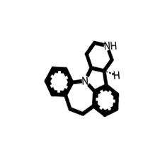 c1ccc2c(c1)CCc1cccc3c1N2C1CCNC[C@@H]31